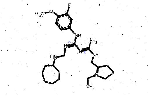 CCN1CCCC1CN/C(N)=N/C(=N\CNC1CCCCCC1)Nc1ccc(OC)c(F)c1